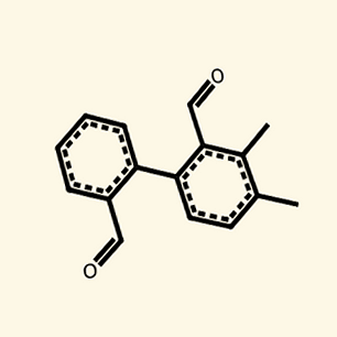 Cc1ccc(-c2ccccc2C=O)c(C=O)c1C